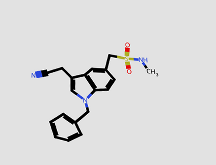 CNS(=O)(=O)Cc1ccc2c(c1)c(CC#N)cn2Cc1ccccc1